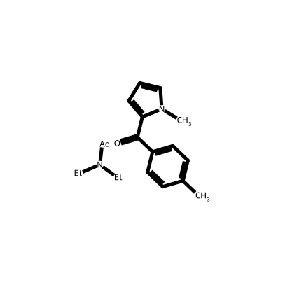 CCN(CC)C(C)=O.Cc1ccc(C(=O)c2cccn2C)cc1